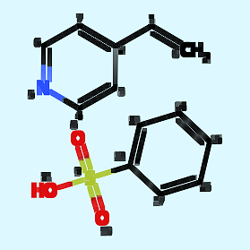 C=Cc1ccncc1.O=S(=O)(O)c1ccccc1